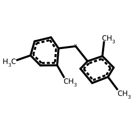 Cc1ccc([C]c2ccc(C)cc2C)c(C)c1